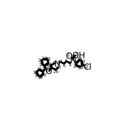 O=C(O)N(CCCCN1CCC(OC(c2ccccc2)c2ccccc2)CC1)c1ccc(Cl)cc1